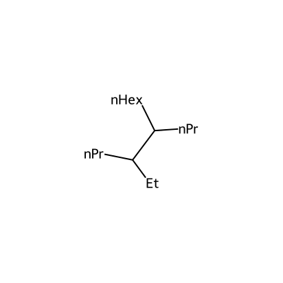 [CH2]CCC(CC)C(CCC)CCCCCC